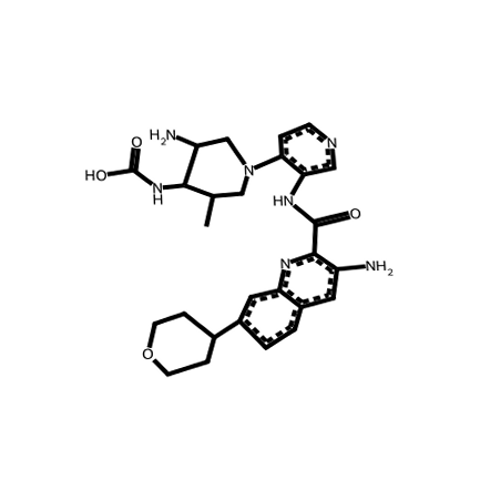 CC1CN(c2ccncc2NC(=O)c2nc3cc(C4CCOCC4)ccc3cc2N)CC(N)C1NC(=O)O